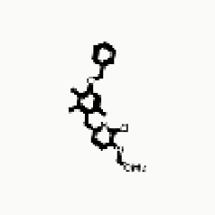 COCOC1C=CC(Cc2c(C)cc(OCc3ccccc3)c(C)c2C)=NC1Cl